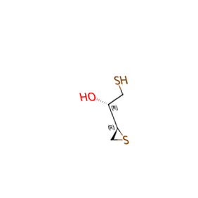 O[C@H](CS)[C@@H]1CS1